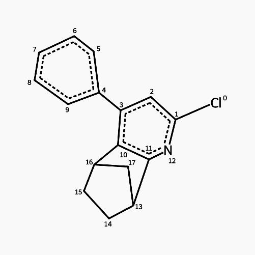 Clc1cc(-c2ccccc2)c2c(n1)C1CCC2C1